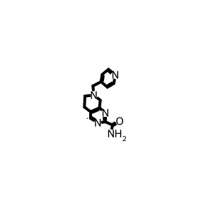 NC(=O)c1n[c]c2c(n1)CN(Cc1ccncc1)CC2